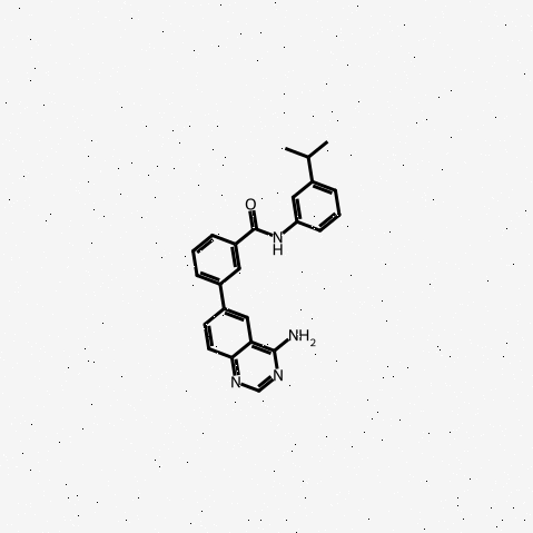 CC(C)c1cccc(NC(=O)c2cccc(-c3ccc4ncnc(N)c4c3)c2)c1